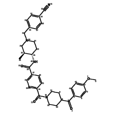 COc1ccc(C(=O)C2CCN(C(=O)c3ccc(C(=O)N[C@H]4CCN(Cc5ccc(C#N)cc5)C[C@@H]4C)cn3)CC2)cc1